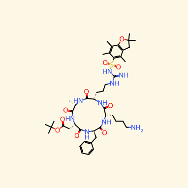 Cc1c(C)c(S(=O)(=O)NC(=N)NCCC[C@@H]2NC(=O)[C@H](CCCCN)NC(=O)[C@@H](Cc3ccccc3)NC(=O)[C@H](CC(=O)OC(C)(C)C)NC(=O)[C@H](C)NC2=O)c(C)c2c1OC(C)(C)C2